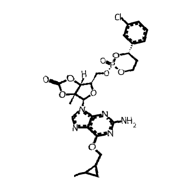 CC1CC1COc1nc(N)nc2c1ncn2[C@@H]1O[C@H](CO[P@@]2(=O)OCC[C@@H](c3cccc(Cl)c3)O2)[C@H]2OC(=O)O[C@]21C